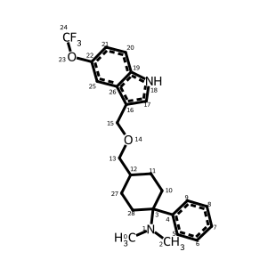 CN(C)C1(c2ccccc2)CCC(COCc2c[nH]c3ccc(OC(F)(F)F)cc23)CC1